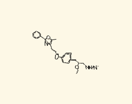 CCO[C@H](CN=[N+]=[N-])Cc1ccc(OCCc2nc(-c3ccccc3)oc2C)cc1